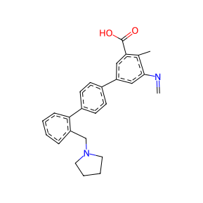 C=Nc1cc(-c2ccc(-c3ccccc3CN3CCCC3)cc2)cc(C(=O)O)c1C